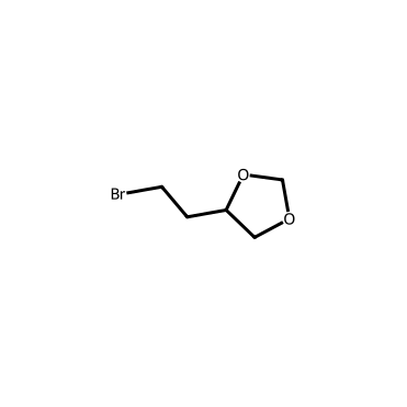 BrCCC1COCO1